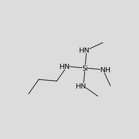 CCCN[Si](NC)(NC)NC